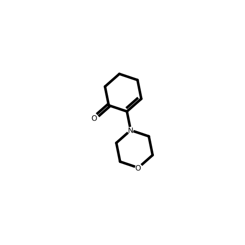 O=C1CCCC=C1N1CCOCC1